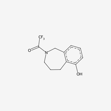 O=C(N1CCCc2c(O)cccc2C1)C(F)(F)F